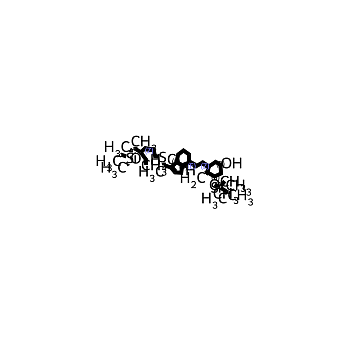 C=C1/C(=C\C=C2/CCC[C@]3(C)C(C(C)SC/C=C\C(CC)(CC)O[Si](CC)(CC)CC)=CC[C@@H]23)C[C@@H](O)C[C@@H]1O[Si](C)(C)C(C)(C)C